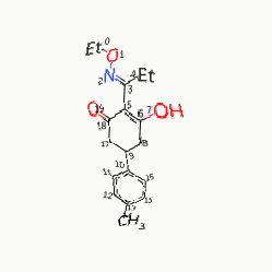 CCON=C(CC)C1=C(O)CC(c2ccc(C)cc2)CC1=O